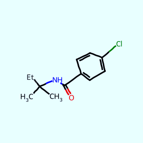 CCC(C)(C)NC(=O)c1ccc(Cl)cc1